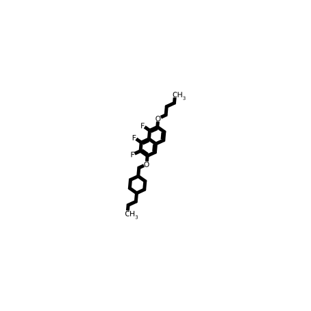 CCCCOc1ccc2cc(OCC3CCC(CCC)CC3)c(F)c(F)c2c1F